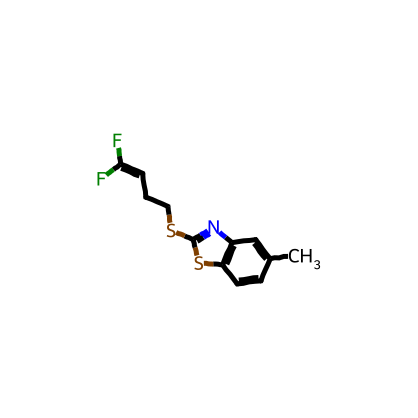 Cc1ccc2sc(SCCC=C(F)F)nc2c1